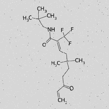 C=CC(=O)CCC(C)(C)CC=C(C(=O)NCC(C)(C)C)C(F)(F)F